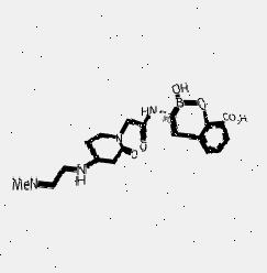 CNCCNC1CCN(CC(=O)N[C@H]2Cc3cccc(C(=O)O)c3OB2O)C(=O)C1